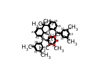 C=C/C(C)=C\C(=C/CC)P(c1cc(C)cc(C)c1)c1cccc2c1OC1C(P(C3=CC(C)=CC(C)C3)c3cccc(C)c3)=CC=CC1C2(C)C